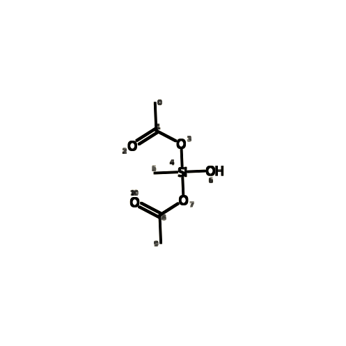 CC(=O)O[Si](C)(O)OC(C)=O